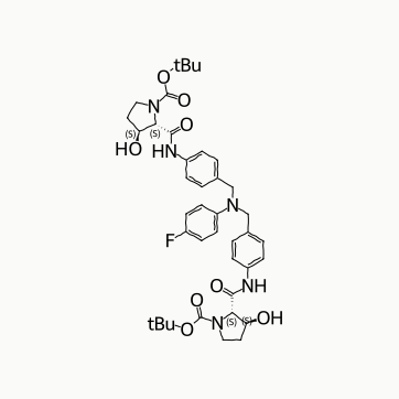 CC(C)(C)OC(=O)N1CC[C@H](O)[C@H]1C(=O)Nc1ccc(CN(Cc2ccc(NC(=O)[C@@H]3[C@@H](O)CCN3C(=O)OC(C)(C)C)cc2)c2ccc(F)cc2)cc1